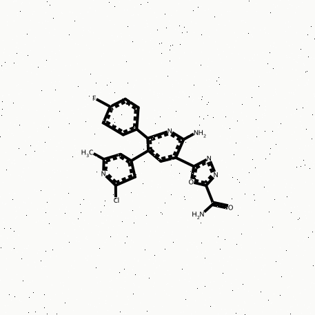 Cc1cc(-c2cc(-c3nnc(C(N)=O)o3)c(N)nc2-c2ccc(F)cc2)cc(Cl)n1